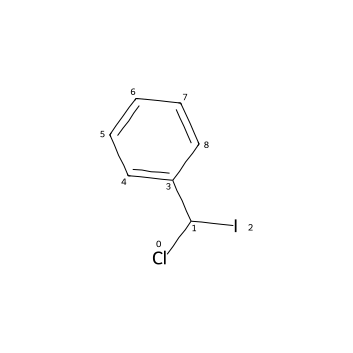 ClC(I)c1ccccc1